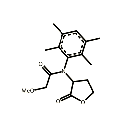 COCC(=O)N(c1c(C)c(C)cc(C)c1C)C1CCOC1=O